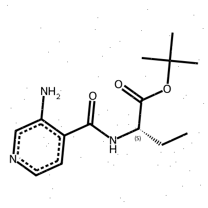 CC[C@H](NC(=O)c1ccncc1N)C(=O)OC(C)(C)C